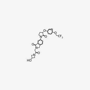 O=C(CN1Cc2ccc(N3CC[C@@H](Oc4ccc(OCC(F)(F)F)nc4)C3=O)cc2C1=O)N1CC(O)C1